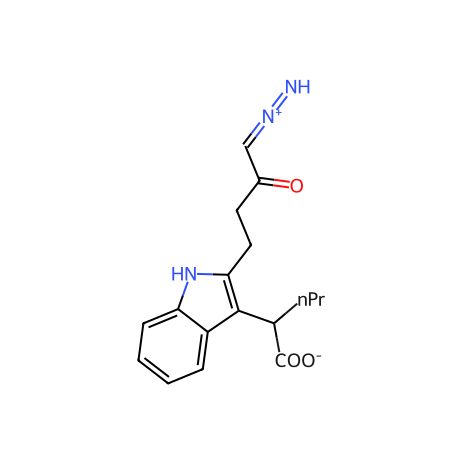 CCCC(C(=O)[O-])c1c(CCC(=O)C=[N+]=N)[nH]c2ccccc12